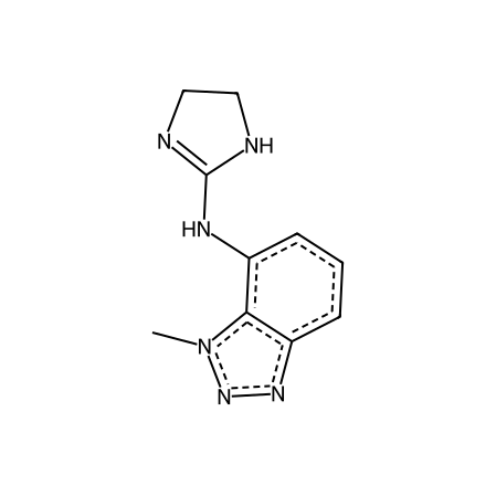 Cn1nnc2cccc(NC3=NCCN3)c21